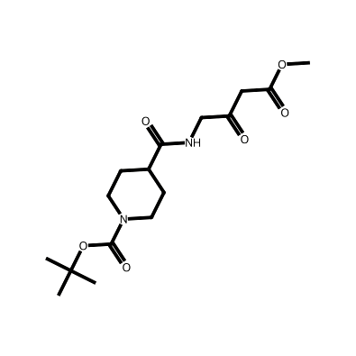 COC(=O)CC(=O)CNC(=O)C1CCN(C(=O)OC(C)(C)C)CC1